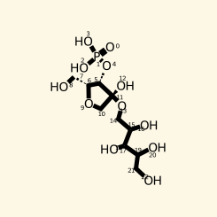 O=P(O)(O)O[C@H]1[C@@H](CO)OC[C@@]1(O)OCC(O)C(O)C(O)CO